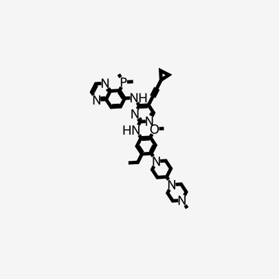 CCc1cc(Nc2ncc(C#CC3CC3)c(Nc3ccc4nccnc4c3P(C)C)n2)c(OC)cc1N1CCC(N2CCN(C)CC2)CC1